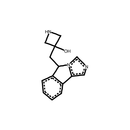 OC1(CC2c3ccccc3-c3cncn32)CNC1